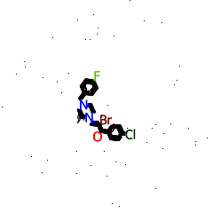 C[C@@H]1CN(Cc2ccc(F)cc2)CCN1/C=C/C(=O)c1ccc(Cl)cc1Br